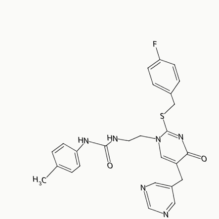 Cc1ccc(NC(=O)NCCn2cc(Cc3cncnc3)c(=O)nc2SCc2ccc(F)cc2)cc1